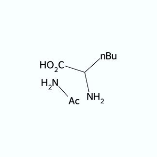 CC(N)=O.CCCCC(N)C(=O)O